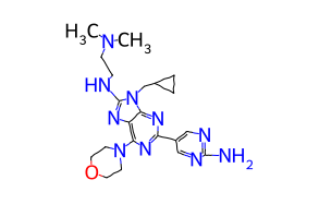 CN(C)CCNc1nc2c(N3CCOCC3)nc(-c3cnc(N)nc3)nc2n1CC1CC1